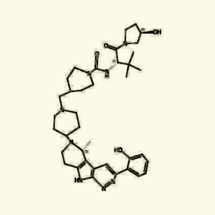 C[C@@H]1c2c([nH]c3nnc(-c4ccccc4O)cc23)CCN1C1CCN(CC2CCN(C(=O)N[C@H](C(=O)N3CC[C@@H](O)C3)C(C)(C)C)CC2)CC1